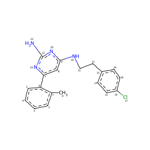 Cc1ccccc1-c1cc(NCCc2ccc(Cl)cc2)nc(N)n1